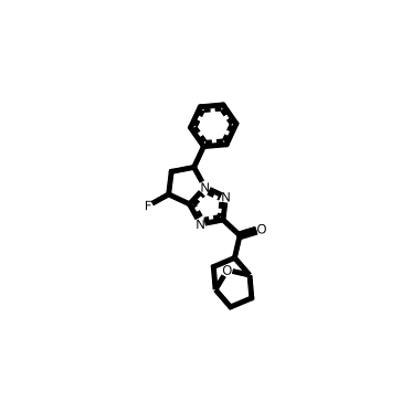 O=C(c1nc2n(n1)C(c1ccccc1)CC2F)C1CC2CCC1O2